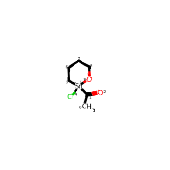 C[C](=O)[Sn]1([Cl])[CH2]CCC[O]1